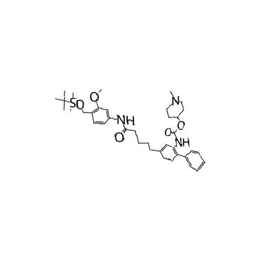 COc1cc(NC(=O)CCCCc2ccc(-c3ccccc3)c(NC(=O)OC3CCN(C)CC3)c2)ccc1CO[Si](C)(C)C(C)(C)C